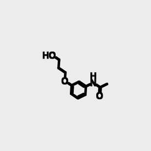 CC(=O)Nc1cccc(OCCCO)c1